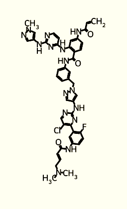 C=CC(=O)Nc1ccc(C(=O)Nc2cccc(Cn3cc(Nc4ncc(Cl)c(-c5cc(NC(=O)/C=C/CN(C)C)ccc5F)n4)cn3)c2)c(Nc2ccnc(Nc3cnn(C)c3)n2)c1